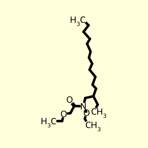 CCCCCCCCCCCCC(CC)CN(OCC)C(=O)COCC